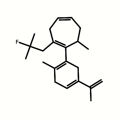 C=C(C)C1=CCC(C)=C(C2=C(CC(C)(C)F)CC=CCC2C)C1